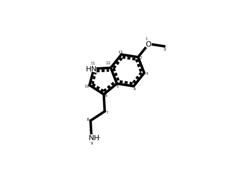 COc1ccc2c(CC[NH])c[nH]c2c1